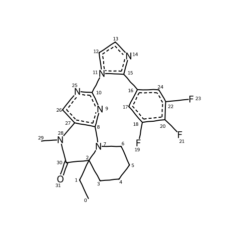 CCC12CCCCN1c1nc(-n3ccnc3-c3cc(F)c(F)c(F)c3)ncc1N(C)C2=O